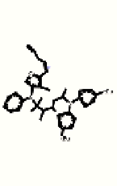 C=CC/C=C\c1occ(N(c2ccccc2)C(C)(C)C(C)C(C)CC(C)N(c2ccc(C(C)(C)C)cc2)c2ccc(C(C)(C)C)cc2)c1C